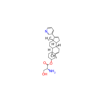 C[C@]12CC[C@H](OC(=O)[C@@H](N)CO)CC1=CC[C@@H]1[C@@H]2CC[C@]2(C)C(c3cccnc3)=CC[C@@H]12